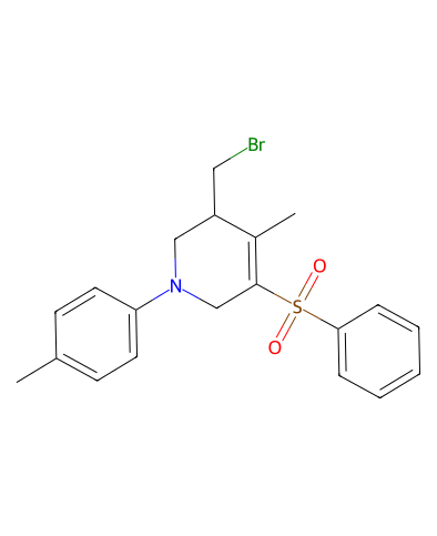 CC1=C(S(=O)(=O)c2ccccc2)CN(c2ccc(C)cc2)CC1CBr